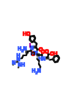 C/N=C(\NC)NCCC[C@H](N)C(=O)N(I)[C@@H](Cc1ccc(O)cc1)C(=O)N[C@@H](CCCCN)C(=O)N[C@@H](Cc1ccccc1)C(=O)O